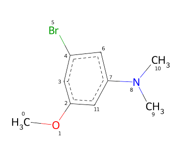 COc1[c]c(Br)cc(N(C)C)c1